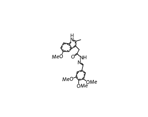 COc1ccc2[nH]c(C)c(CC(=O)NN=Cc3cc(OC)c(OC)c(OC)c3)c2c1